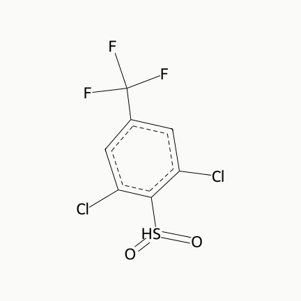 O=[SH](=O)c1c(Cl)cc(C(F)(F)F)cc1Cl